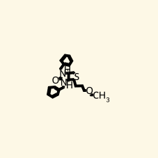 CCOCCCC1SC[C@H]2[C@@H]1N(Cc1ccccc1)C(=O)N2Cc1ccccc1